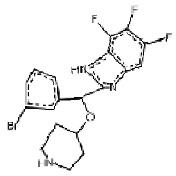 Fc1cc2nc(C(OC3CCNCC3)c3cccc(Br)c3)[nH]c2c(F)c1F